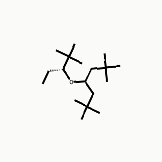 CC[C@@H](OC(CC(C)(C)C)CC(C)(C)C)C(C)(C)C